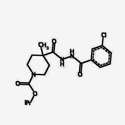 CC(C)OC(=O)N1CCC(C)(C(=O)NNC(=O)c2cccc(Cl)c2)CC1